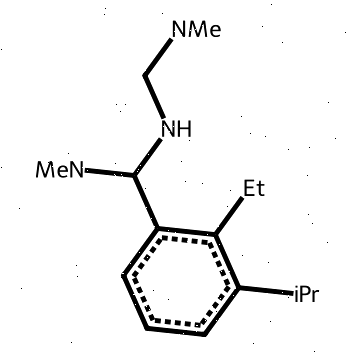 CCc1c(C(C)C)cccc1C(NC)NCNC